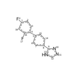 Fc1ccc(-c2ccc(-c3nnc[nH]3)cc2)c(F)c1